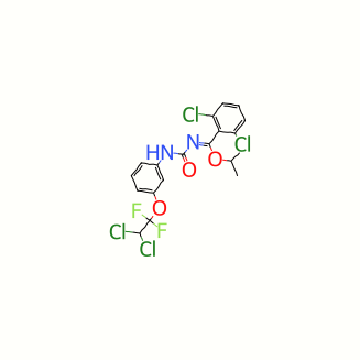 CC(C)OC(=NC(=O)Nc1cccc(OC(F)(F)C(Cl)Cl)c1)c1c(Cl)cccc1Cl